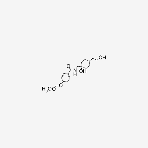 COCOc1ccc(C(=O)NC[C@]2(O)CC[C@@H](CCO)CC2)cc1